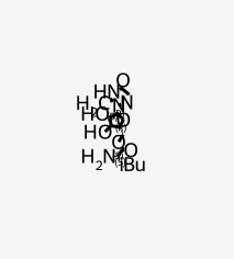 C=C1NC(=O)C=NN1[C@@H]1O[C@H](COC(=O)[C@@H](N)[C@@H](C)CC)C(O)[C@@H]1O